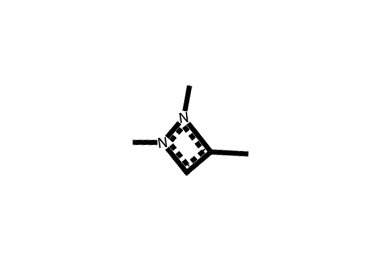 Cc1cn(C)n1C